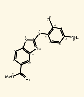 COC(=O)c1ccc2sc(Sc3ccc(N)cc3Cl)nc2c1